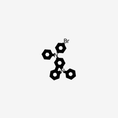 Brc1ccc(N(c2ccccc2)c2ccc3c(c2)c2ccccc2n3-c2ccccc2)cc1